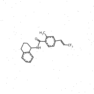 Cc1cc(C=CC(F)(F)F)ccc1C(=O)NC1CCCc2ccccc21